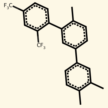 Cc1ccc(-c2ccc(C)c(-c3ccc(C(F)(F)F)cc3C(F)(F)F)c2)cc1C